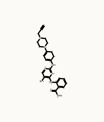 C#CCN1CCN(C2=CC=C(Nc3ncc(Br)c(Nc4ccccc4C(=O)NC)n3)CC2)CC1